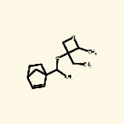 CCC1(OC(C)C23C=CC(CC2)C3)COC1C